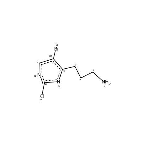 NCCCc1nc(Cl)ncc1Br